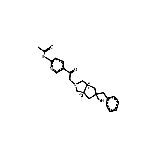 CC(=O)Nc1ccc(C(=O)CN2C[C@@H]3CC(O)(Cc4ccccc4)C[C@@H]3C2)cn1